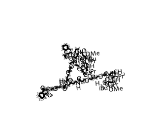 CC[C@H](C)[C@@H]([C@@H](CC(=O)N1CCC[C@H]1[C@H](OC)[C@@H](C)C(=O)N[C@@H](Cc1ccccc1)c1nccs1)OC)N(C)C(=O)[C@@H](NC(=O)[C@H](C(C)C)N(C)CCOCCOCCOCCOCCC(=O)N[C@@H](CCCCNC(=O)CCOCCOCCOCCOCCN(C)[C@H](C(=O)N[C@H](C(=O)N(C)[C@H](COC)[C@@H](C)CC)C(C)C)C(C)C)C(=O)NCCOCCON1C(=O)c2ccccc2C1=O)C(C)C